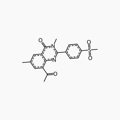 CC(=O)c1cc(C)cc2c(=O)n(C)c(-c3ccc(S(C)(=O)=O)cc3)nc12